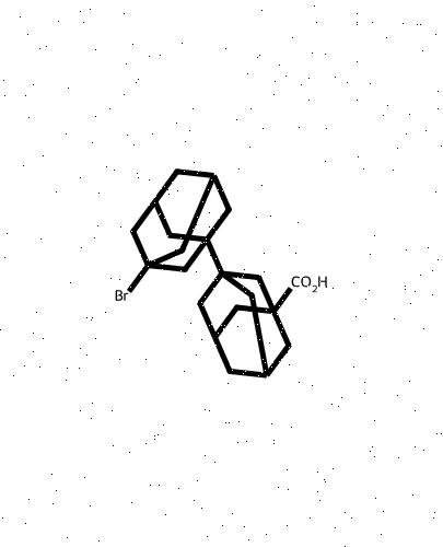 O=C(O)C12CC3CC(C1)CC(C14CC5CC(CC(Br)(C5)C1)C4)(C3)C2